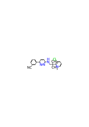 CC(C)(CNc1ccc(-c2cccc(C#N)c2)nn1)c1ncccc1Cl